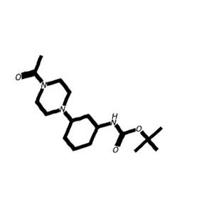 CC(=O)N1CCN(C2CCCC(NC(=O)OC(C)(C)C)C2)CC1